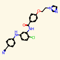 N#Cc1ccc(Nc2ccc(Cl)c(NC(=O)c3ccc(OCCn4ccnc4)cc3)c2)cc1